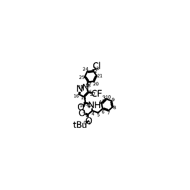 CC(C)(C)OC(=O)C(Cc1ccccc1)NC(=O)c1cnn(-c2ccc(Cl)cc2)c1C(F)(F)F